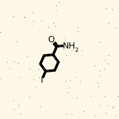 NC(=O)C1CCC(I)CC1